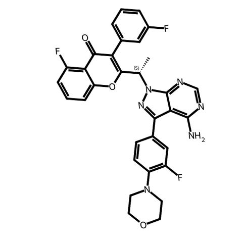 C[C@@H](c1oc2cccc(F)c2c(=O)c1-c1cccc(F)c1)n1nc(-c2ccc(N3CCOCC3)c(F)c2)c2c(N)ncnc21